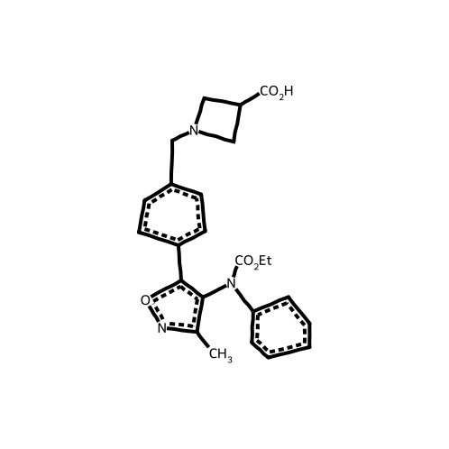 CCOC(=O)N(c1ccccc1)c1c(C)noc1-c1ccc(CN2CC(C(=O)O)C2)cc1